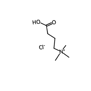 C[N+](C)(C)CCCC(=O)O.[Cl-]